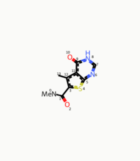 CNC(=O)c1sc2nc[nH]c(=O)c2c1C